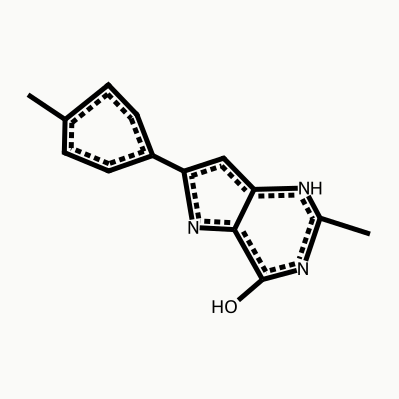 Cc1ccc(-c2cc3[nH]c(C)nc(O)c-3n2)cc1